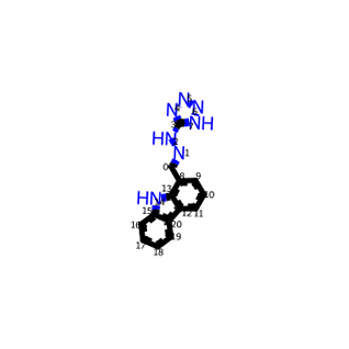 C(=N\Nc1nnn[nH]1)/c1cccc2c1[nH]c1ccccc12